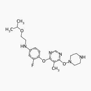 Cc1c(Oc2ccc(NCCOC(C)C)cc2F)ncnc1ON1CCNCC1